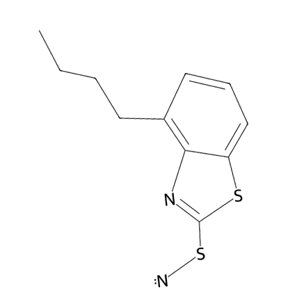 CCCCc1cccc2sc(S[N])nc12